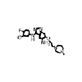 CN1CCCN(CCCOc2cc3ncnc(Nc4ccc(F)c(Cl)c4)c3cc2N)CC1